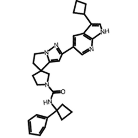 O=C(NC1(c2ccccc2)CCC1)N1CCC2(CCn3nc(-c4cnc5[nH]cc(C6CCC6)c5c4)cc32)C1